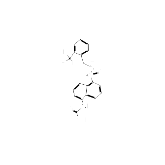 CC(=O)Nc1cccc2c(S(=O)(=O)NCc3ccccc3C(F)(F)F)cccc12